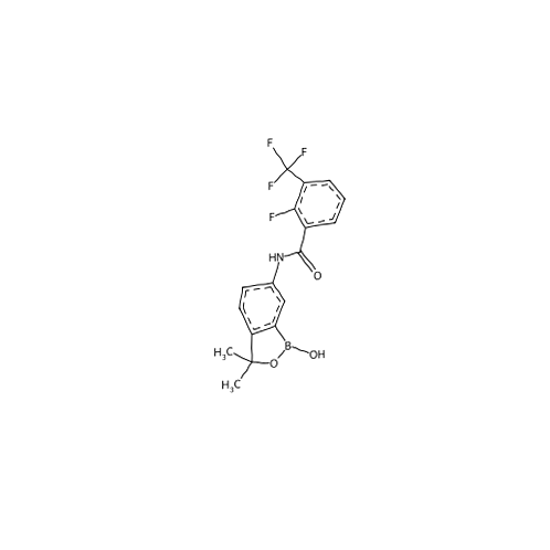 CC1(C)OB(O)c2cc(NC(=O)c3cccc(C(F)(F)F)c3F)ccc21